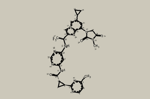 Cc1ccnc([C@H]2C[C@@H]2C(=O)Nc2cc(NC(c3cn4cc(C5CC5)cc(N5CC(=O)N(C)C5=O)c4n3)C(F)(F)F)ncn2)n1